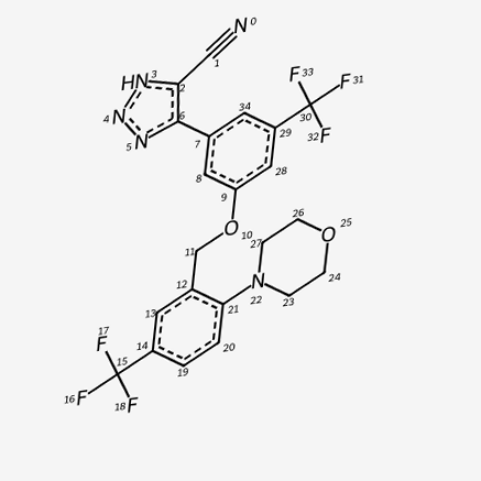 N#Cc1[nH]nnc1-c1cc(OCc2cc(C(F)(F)F)ccc2N2CCOCC2)cc(C(F)(F)F)c1